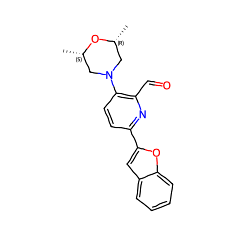 C[C@@H]1CN(c2ccc(-c3cc4ccccc4o3)nc2C=O)C[C@H](C)O1